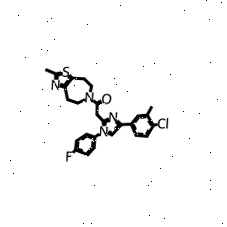 Cc1nc2c(s1)CCN(C(=O)Cc1nc(-c3ccc(Cl)c(C)c3)cn1-c1ccc(F)cc1)CC2